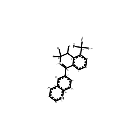 CC1c2c(cccc2C(F)(F)F)C(c2ccc3ncccc3c2)=NC1(C)C